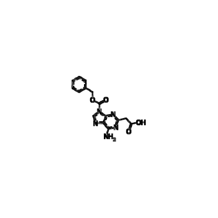 Nc1nc(CC(=O)O)nc2c1ncn2C(=O)OCc1ccccc1